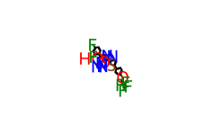 CC(n1cnc2cc(-c3ccc(OCC(F)(F)C(F)F)cc3)sc2c1=O)C(O)(Cn1cncn1)c1ccc(F)cc1F